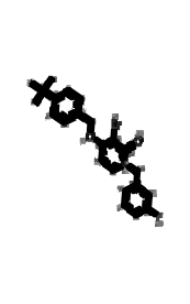 CC(C)(C)c1ccc(COc2ccn(Cc3cccc(F)c3)c(=O)c2Br)cc1